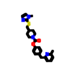 Cc1cccc(Cc2ccc(OC(=O)N3CCC(CSc4nccn4C)CC3)cc2)n1